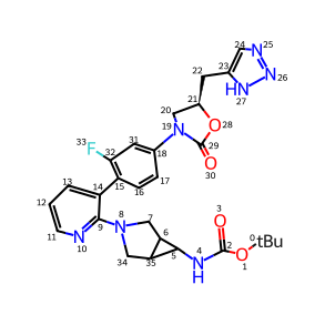 CC(C)(C)OC(=O)NC1C2CN(c3ncccc3-c3ccc(N4C[C@@H](Cc5cnn[nH]5)OC4=O)cc3F)CC21